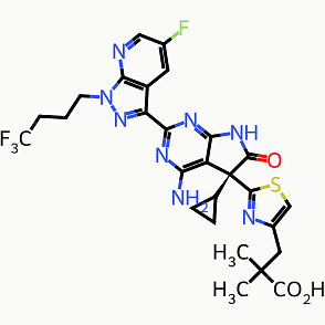 CC(C)(Cc1csc([C@@]2(C3CC3)C(=O)Nc3nc(-c4nn(CCCC(F)(F)F)c5ncc(F)cc45)nc(N)c32)n1)C(=O)O